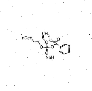 C=COP(=O)(OCCCCCCCCCCCC)OS(=O)(=O)c1ccccc1.[NaH]